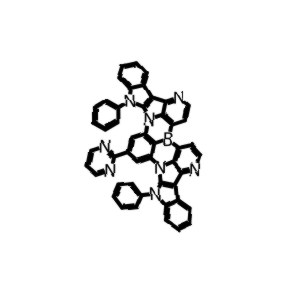 c1ccc(-n2c3ccccc3c3c4nccc5c4n(c32)-c2cc(-c3ncccn3)cc3c2B5c2ccnc4c5c6ccccc6n(-c6ccccc6)c5n-3c24)cc1